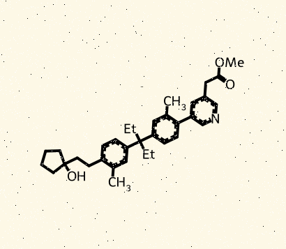 CCC(CC)(c1ccc(CCC2(O)CCCC2)c(C)c1)c1ccc(-c2cncc(CC(=O)OC)c2)c(C)c1